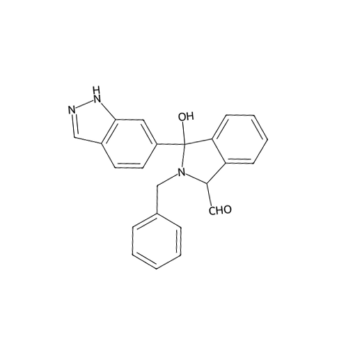 O=CC1c2ccccc2C(O)(c2ccc3cn[nH]c3c2)N1Cc1ccccc1